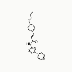 C=CCOc1ccc(C=CC(=O)Nc2nc(-c3ccncc3)cs2)cc1